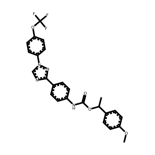 COc1ccc(C(C)OC(=O)Nc2ccc(-c3ncn(-c4ccc(OC(F)(F)F)cc4)n3)cc2)cc1